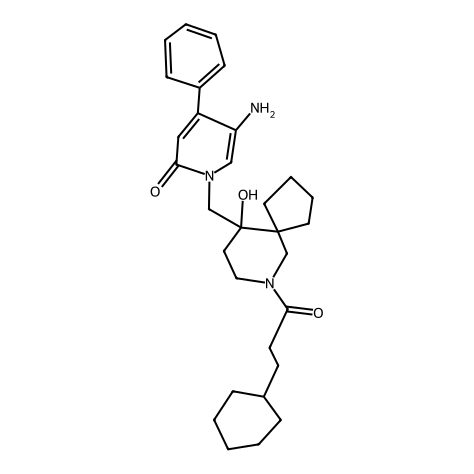 Nc1cn(CC2(O)CCN(C(=O)CCC3CCCCC3)CC23CCCC3)c(=O)cc1-c1ccccc1